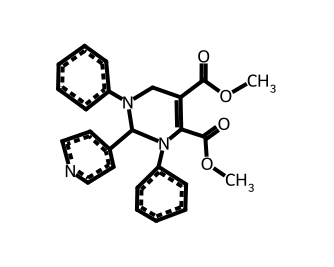 COC(=O)C1=C(C(=O)OC)N(c2ccccc2)C(c2ccncc2)N(c2ccccc2)C1